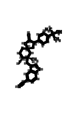 CC(C)(O)c1cnc(N2C[C@@]3(CC[C@@H](F)[C@](C)(Cn4cnc5ccc(C#N)cc54)C3)OC2=O)cn1